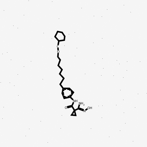 N/C(=N\O)C1(C(=O)Nc2ccc(CCCCCCCOCC3CCCCC3)cc2)CC1